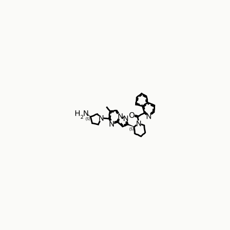 Cc1cn2nc([C@@H]3CCCCN3C(=O)c3nccc4ccccc34)cc2nc1N1CC[C@H](N)C1